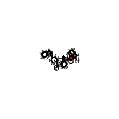 O=C(N1CCC(n2ccc3ccccc32)CC1)N1CCC[C@H](NC(=O)[C@]23CC4CC(C2)C(O)[C@H](C4)C3)C1